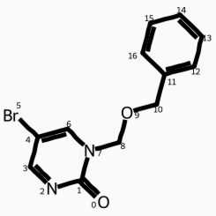 O=c1ncc(Br)cn1COCc1ccccc1